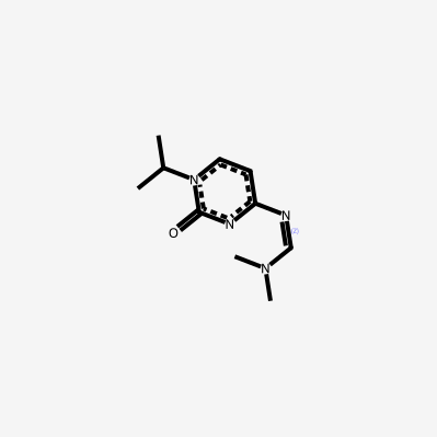 CC(C)n1ccc(/N=C\N(C)C)nc1=O